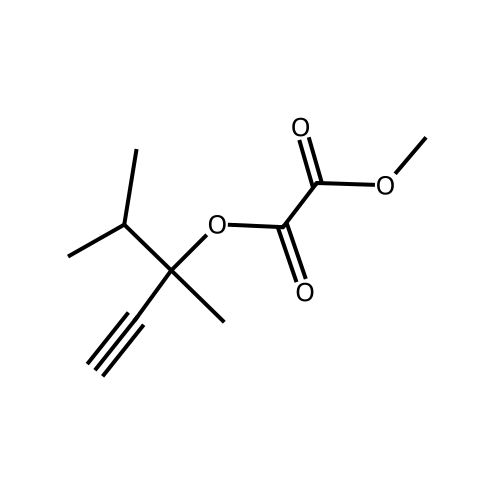 C#CC(C)(OC(=O)C(=O)OC)C(C)C